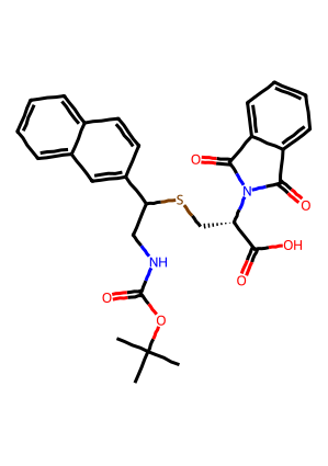 CC(C)(C)OC(=O)NCC(SC[C@@H](C(=O)O)N1C(=O)c2ccccc2C1=O)c1ccc2ccccc2c1